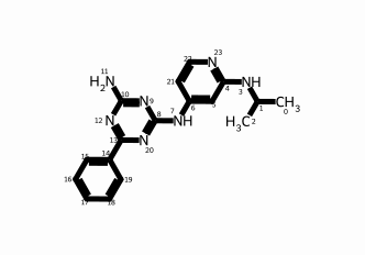 CC(C)Nc1cc(Nc2nc(N)nc(-c3ccccc3)n2)ccn1